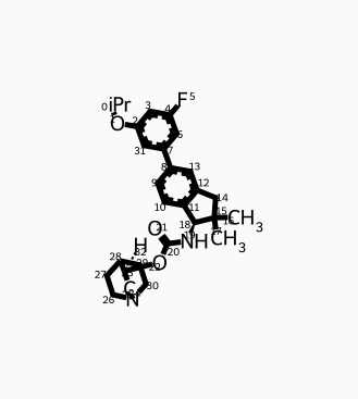 CC(C)Oc1cc(F)cc(-c2ccc3c(c2)CC(C)(C)[C@H]3NC(=O)O[C@H]2CN3CCC2CC3)c1